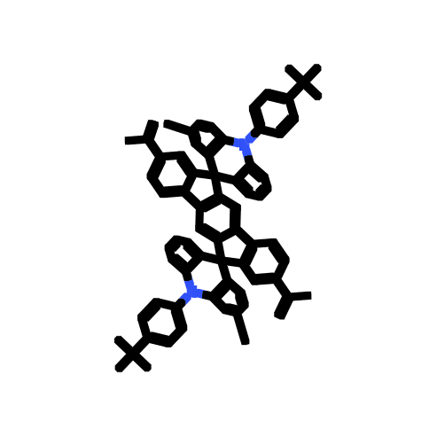 C=C(C)c1ccc2c(c1)C1(c3cc4c(cc3-2)C2(c3cc(C(=C)C)ccc3-4)c3ccccc3N(c3ccc(C(C)(C)C)cc3)c3ccc(C)cc32)c2ccccc2N(c2ccc(C(C)(C)C)cc2)c2cc(C)ccc21